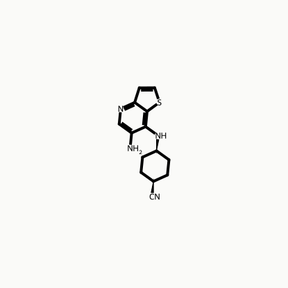 N#C[C@H]1CC[C@@H](Nc2c(N)cnc3ccsc23)CC1